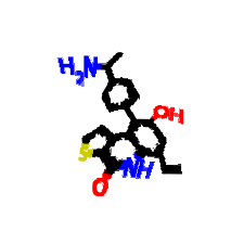 C=Cc1cc(O)c(-c2ccc(C(C)N)cc2)c2c1[nH]c(=O)c1sccc12